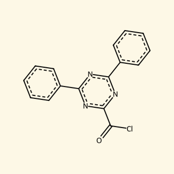 O=C(Cl)c1nc(-c2ccccc2)nc(-c2ccccc2)n1